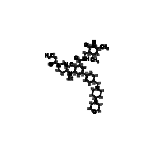 C=CC(=O)N1CCC(N(CC)c2cc(-c3ccc(CN4CCC(N5CCOCC5)CC4)cc3)cc(C(=O)NCc3c(C)cc(C)[nH]c3=O)c2C)CC1